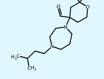 CC(C)CCN1CCCN(C2(C=O)CCOC(C)(C)C2)CC1